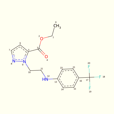 CCOC(=O)c1ccnn1CCNc1ccc(C(F)(F)F)cc1